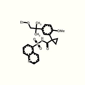 CCOCC(C)(C)c1ccc(OC)c(C2(C(=O)NS(=O)(=O)c3cccc4ncccc34)CC2)c1